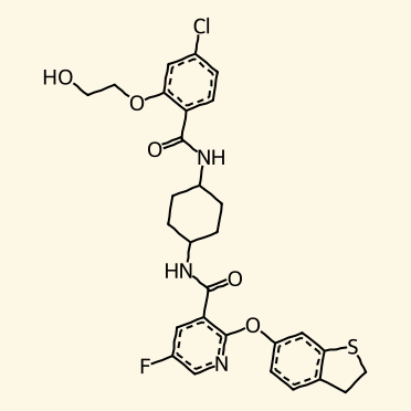 O=C(NC1CCC(NC(=O)c2cc(F)cnc2Oc2ccc3c(c2)SCC3)CC1)c1ccc(Cl)cc1OCCO